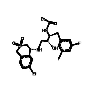 CCC(=O)N[C@@H](Cc1cc(F)cc(F)c1)[C@H](O)CN[C@H]1CS(=O)(=O)Cc2ccc(CC)cc21